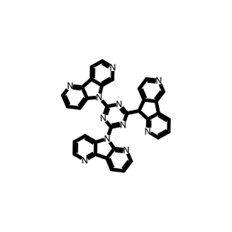 c1cnc2c(c1)-c1cnccc1C2c1nc(-n2c3cnccc3c3ncccc32)nc(-n2c3cccnc3c3cccnc32)n1